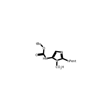 CCCCCc1ncc(NC(=O)OC(C)(C)C)n1C(=O)O